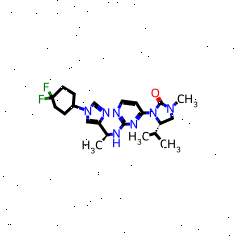 CC(C)[C@H]1CN(C)C(=O)N1c1ccnc(N[C@@H](C)c2cn(C3CCC(F)(F)CC3)cn2)n1